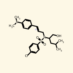 CC(C)CC(CO)N(C/C=C/c1ccc(N(C)C)cc1)S(=O)(=O)c1ccc(Cl)cc1